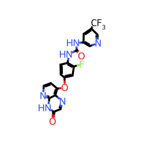 O=C(Nc1cncc(C(F)(F)F)c1)Nc1ccc(Oc2ccnc3[nH]c(=O)cnc23)cc1F